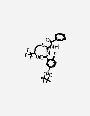 CC1(C)OB(c2ccc(F)c([C@H]3CO[C@@H](C(F)(F)F)CCS/C(NC(=O)c4ccccc4)=N\3)c2)OC1(C)C